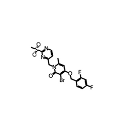 Cc1cc(OCc2ccc(F)cc2F)c(Br)c(=O)n1Cc1ccnc(S(C)(=O)=O)n1